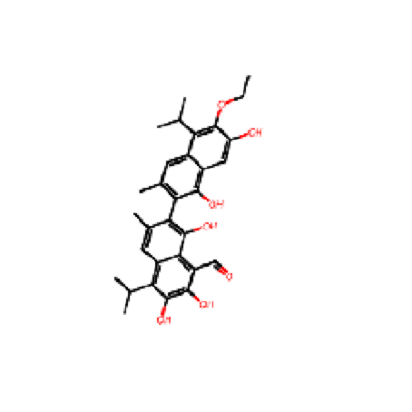 CCOc1c(O)cc2c(O)c(-c3c(C)cc4c(C(C)C)c(O)c(O)c(C=O)c4c3O)c(C)cc2c1C(C)C